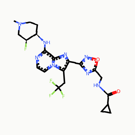 CN1CC[C@@H](Nc2nccn3c(CC(F)(F)F)c(-c4noc(CNC(=O)C5CC5)n4)nc23)[C@@H](F)C1